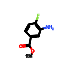 CC(C)(C)OC(=O)c1ccc(F)c(N)c1